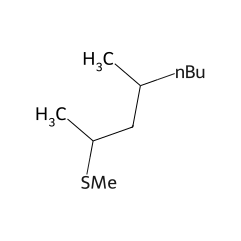 CCCCC(C)CC(C)SC